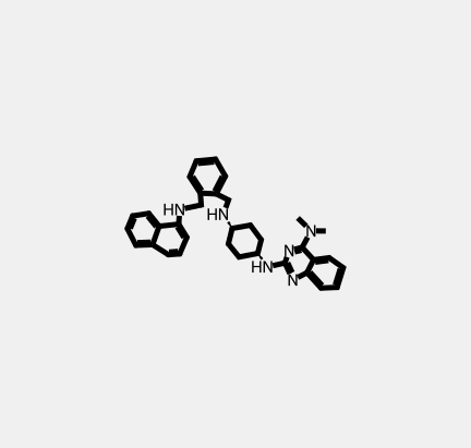 CN(C)c1nc(N[C@H]2CC[C@@H](NCc3ccccc3CNc3cccc4ccccc34)CC2)nc2ccccc12